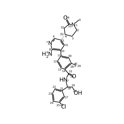 CN1CC[C@H](c2cnc(N)c(-c3ccc(C(=O)NC(CO)c4cccc(Cl)c4)c(F)c3)c2)CC1=O